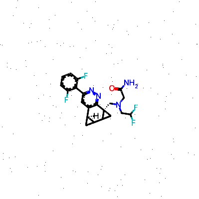 NC(=O)CN(CC(F)F)C[C@]12c3nnc(-c4c(F)cccc4F)cc3[C@H]3C4C3C1C42